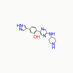 Oc1cc(-c2cn[nH]c2)ccc1-c1cnc(NC2CCNCC2)cn1